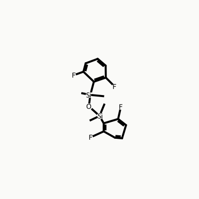 C[Si](C)(O[Si](C)(C)c1c(F)cccc1F)c1c(F)cccc1F